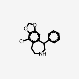 Clc1c2c(cc3c1OCO3)C(c1ccccc1)CNCC2